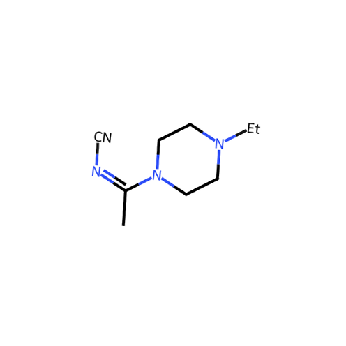 CCN1CCN(/C(C)=N\C#N)CC1